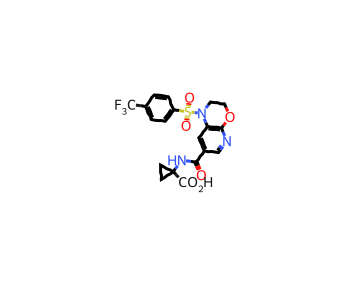 O=C(NC1(C(=O)O)CC1)c1cnc2c(c1)N(S(=O)(=O)c1ccc(C(F)(F)F)cc1)CCO2